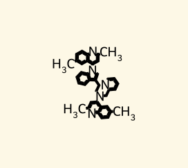 Cc1ccc2nc(C)cc(N(CCc3cn(-c4cc(C)nc5ccc(C)cc45)c4ccccc34)Cc3ccccn3)c2c1